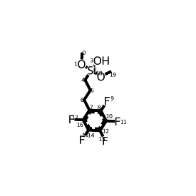 CO[Si](O)(CCCc1c(F)c(F)c(F)c(F)c1F)OC